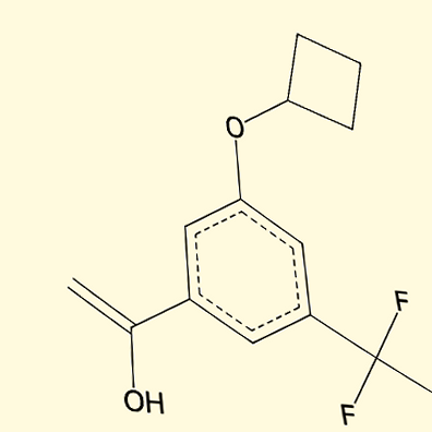 C=C(O)c1cc(OC2CCC2)cc(C(F)(F)F)c1